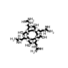 N=C(N)NCCC[C@H]1CN(CC(=O)O)[C@@H](CCCNC(=N)N)CN(CC(=O)O)[C@@H](CCCNC(=N)N)CN(CC(=O)O)[C@@H](CCCNC(=N)N)CN1CC(=O)O